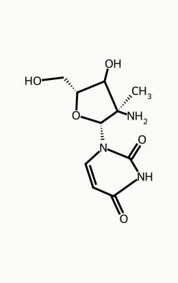 C[C@@]1(N)C(O)[C@@H](CO)O[C@H]1n1ccc(=O)[nH]c1=O